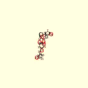 CCC1(OCC2CCC3OC23)COC2(CCC(OCC3CCC4OC34)CO2)OC1